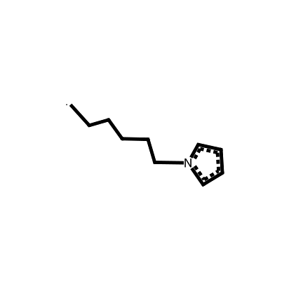 [CH2]CCCCCn1cccc1